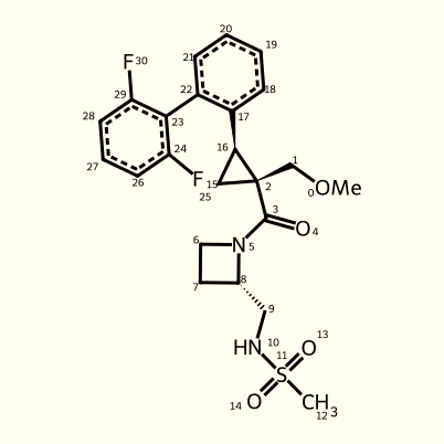 COC[C@@]1(C(=O)N2CC[C@H]2CNS(C)(=O)=O)C[C@H]1c1ccccc1-c1c(F)cccc1F